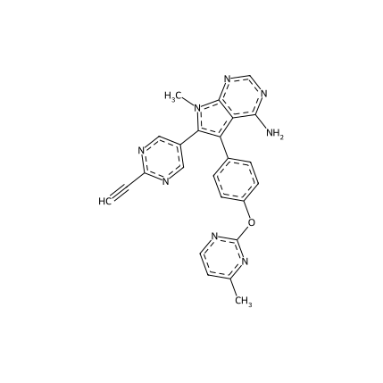 C#Cc1ncc(-c2c(-c3ccc(Oc4nccc(C)n4)cc3)c3c(N)ncnc3n2C)cn1